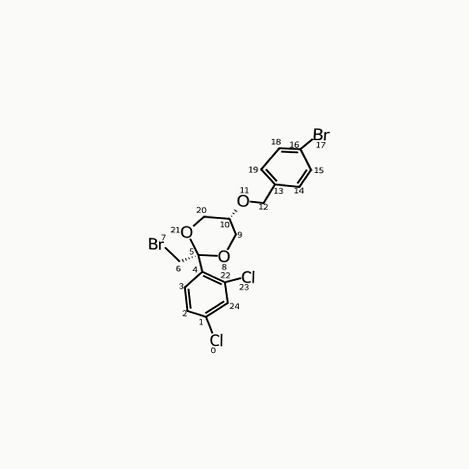 Clc1ccc([C@]2(CBr)OC[C@@H](OCc3ccc(Br)cc3)CO2)c(Cl)c1